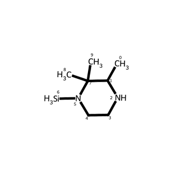 CC1NCCN([SiH3])C1(C)C